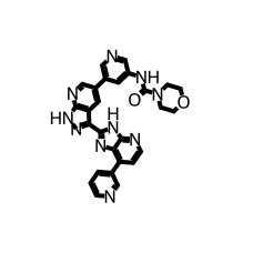 O=C(Nc1cncc(-c2cnc3[nH]nc(-c4nc5c(-c6cccnc6)ccnc5[nH]4)c3c2)c1)N1CCOCC1